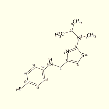 CC(C)N(C)c1nc(CNc2ccc(F)cc2)cs1